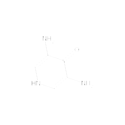 Nc1c[nH]cc(N)c1=O